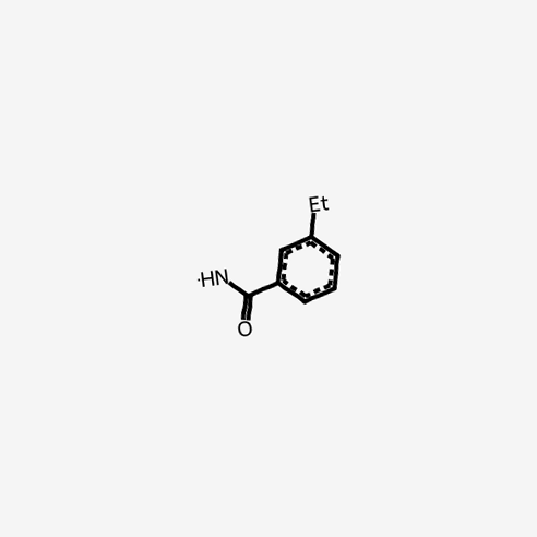 CCc1cccc(C([NH])=O)c1